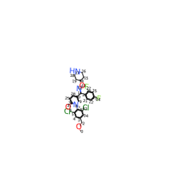 COCc1cc(Cl)c(-n2cc(/C(=N/OC3CCNCC3)c3ccc(F)cc3F)ccc2=O)c(Cl)c1